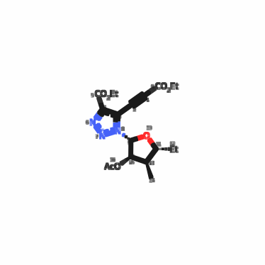 CCOC(=O)C#Cc1c(C(=O)OCC)nnn1[C@@H]1O[C@H](CC)[C@@H](C)[C@H]1OC(C)=O